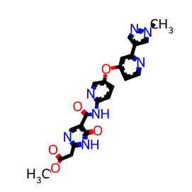 COC(=O)Cc1ncc(C(=O)Nc2ccc(Oc3ccnc(-c4cnn(C)c4)c3)cn2)c(=O)[nH]1